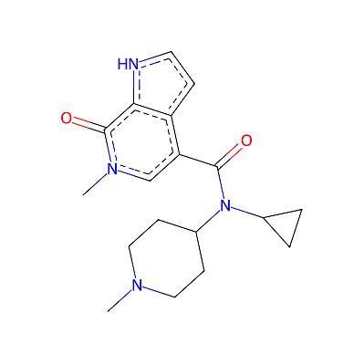 CN1CCC(N(C(=O)c2cn(C)c(=O)c3[nH]ccc23)C2CC2)CC1